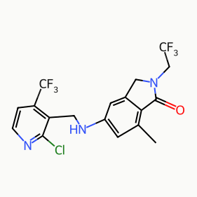 Cc1cc(NCc2c(C(F)(F)F)ccnc2Cl)cc2c1C(=O)N(CC(F)(F)F)C2